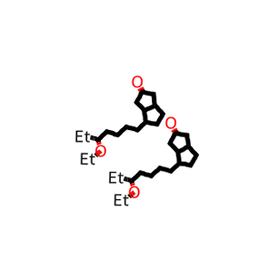 CCOC(CC)CCCCC1CCC2CC(=O)CC12.CCOC(CC)CCCCC1CCC2CC(=O)CC12